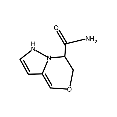 NC(=O)C1COC=C2C=CNN21